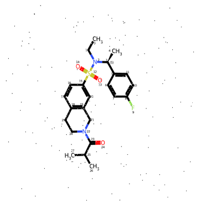 CCN([C@@H](C)c1ccc(F)cc1)S(=O)(=O)c1ccc2c(c1)CN(C(=O)C(C)C)CC2